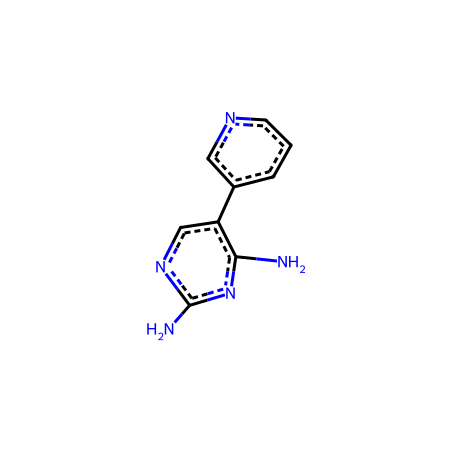 Nc1ncc(-c2cccnc2)c(N)n1